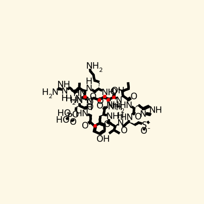 CC[C@H](C)[C@H](NC(=O)[C@H](N)CCCNC(=N)N)C(=O)N[C@H](Cc1c[nH]cn1)C(=O)N[C@@H](CC[S+](C)[O-])C(=O)N[C@H](C(=O)N[C@@H](Cc1ccc(O)cc1)C(=O)N[C@@H](CO)C(=O)N[C@@H](CCCCN)C(=O)N[C@@H](C(=O)N[C@@H](COP(=O)(O)O)C(=O)NCC(C)=O)/C(C)=C/CNC(=N)N)C(C)C